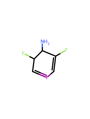 NC1C(F)=CI=CC1F